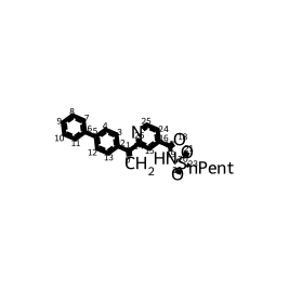 C=C(c1ccc(-c2ccccc2)cc1)c1cc(C(=O)NS(=O)(=O)CCCCC)ccn1